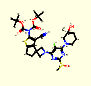 C[S+]([O-])c1nc(N2CC3(CCc4sc(N(C(=O)OC(C)(C)C)C(=O)OC(C)(C)C)c(C#N)c43)C2)c(F)c(N2CCC[C@](C)(O)C2)n1